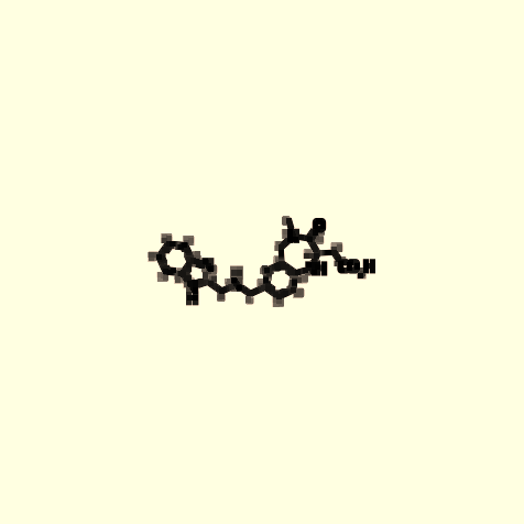 CN1Cc2cc(CNCc3nc4ccccc4[nH]3)ccc2NC(CC(=O)O)C1=O